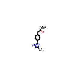 COC(=O)Cc1ccc(-c2nc(C(F)(F)F)c[nH]2)cc1